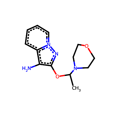 CC(Oc1nn2ccccc2c1N)N1CCOCC1